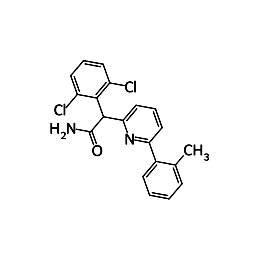 Cc1ccccc1-c1cccc(C(C(N)=O)c2c(Cl)cccc2Cl)n1